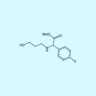 COC(=O)C(NCCCO)c1ccc(F)cc1